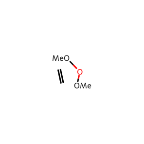 C=C.COOOC